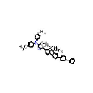 C=C(/C=C\C(=C)N(c1ccc(C)cc1)c1ccc(C)cc1)c1ccc2c(c1)C(C)(C)c1cc(-c3ccc(-c4ccccc4)cc3)ccc1-2